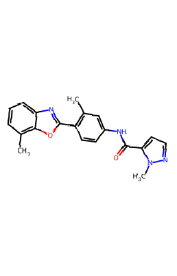 Cc1cc(NC(=O)c2ccnn2C)ccc1-c1nc2cccc(C)c2o1